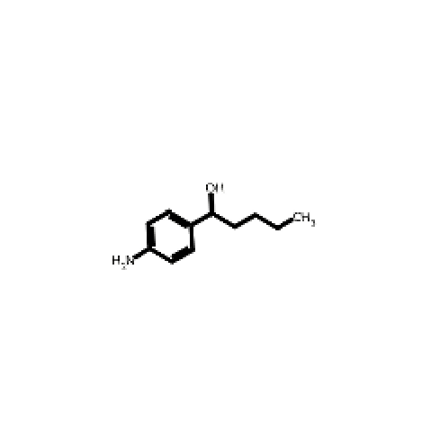 CCCCC(O)c1ccc(N)cc1